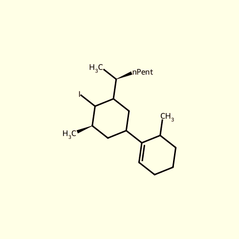 CCCCC[C@H](C)C1CC(C2=CCCCC2C)C[C@@H](C)C1I